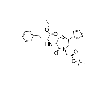 CCOC(=O)[C@@H](CCc1ccccc1)NC1CSC(c2ccsc2)CN(CC(=O)OC(C)(C)C)C1=O